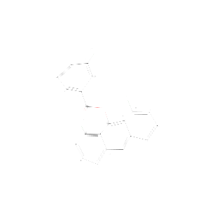 O=C(Oc1c2c(Cl)cccc2cc2cccc(Cl)c12)c1cccc(Cl)c1